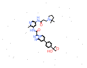 Cc1ncc(NC(=O)CCN2CCCC2(C)C)cc1NC(=O)c1nnc2cc(-c3ccc(C4(O)COC4)cc3)ccn12